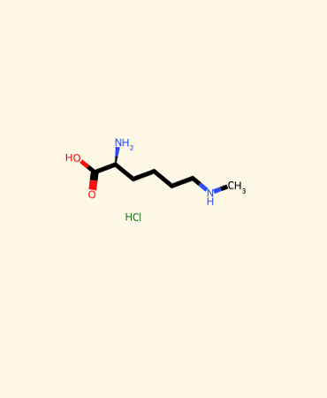 CNCCCC[C@H](N)C(=O)O.Cl